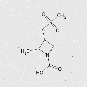 CC1C(CS(C)(=O)=O)CN1C(=O)O